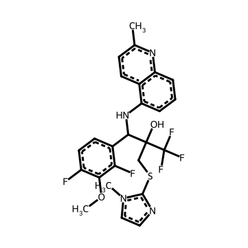 COc1c(F)ccc(C(Nc2cccc3nc(C)ccc23)C(O)(CSc2nccn2C)C(F)(F)F)c1F